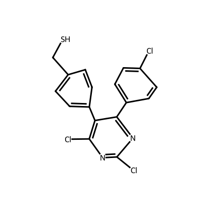 SCc1ccc(-c2c(Cl)nc(Cl)nc2-c2ccc(Cl)cc2)cc1